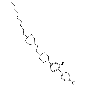 CCCCCCCCCC1CCC(CCC2CCC(c3ccc(-c4ccc(Cl)cc4)c(F)c3)CC2)CC1